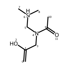 C=C(O)CN(C[SiH](C)C)C(C)=O